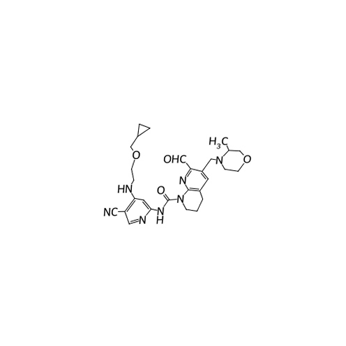 CC1COCCN1Cc1cc2c(nc1C=O)N(C(=O)Nc1cc(NCCOCC3CC3)c(C#N)cn1)CCC2